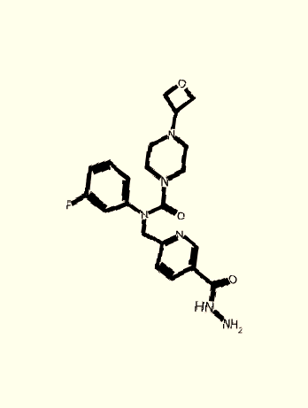 NNC(=O)c1ccc(CN(C(=O)N2CCN(C3COC3)CC2)c2cccc(F)c2)nc1